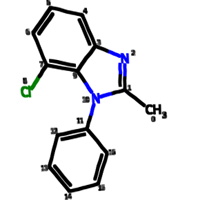 Cc1nc2cccc(Cl)c2n1-c1ccccc1